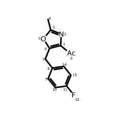 CC(=O)c1nc(C)oc1Cc1ccc(F)cc1